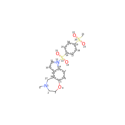 CN1CCOc2ccc3c(ccn3S(=O)(=O)c3ccc(S(C)(=O)=O)cc3)c2C1